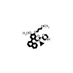 COCCCOc1cc(CN(C(=O)[C@H]2CNCCO2)C2CC2)c(-c2cccc3ccccc23)cc1OC